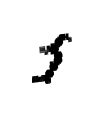 CNC(=O)c1ccc(-c2ccc(N3CCc4ccc(-c5cc(N6CCN(C)CC6)nc(N)n5)cc4C3)nc2)cc1